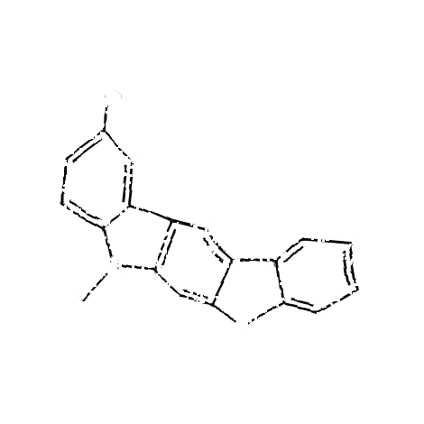 CCCCc1ccc2c(c1)c1cc3c(cc1n2C)sc1ccccc13